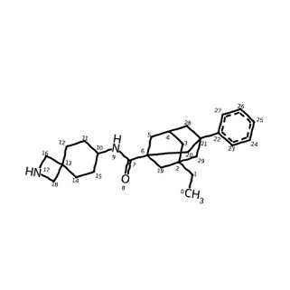 CCC12CC3CC(C(=O)NC4CCC5(CC4)CNC5)(C1)CC(c1ccccc1)(C3)C2